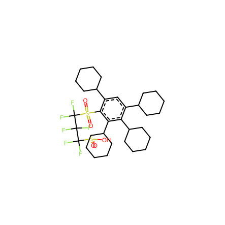 O=S(=O)(O)C(F)(F)C(F)(F)C(F)(F)S(=O)(=O)c1c(C2CCCCC2)cc(C2CCCCC2)c(C2CCCCC2)c1C1CCCCC1